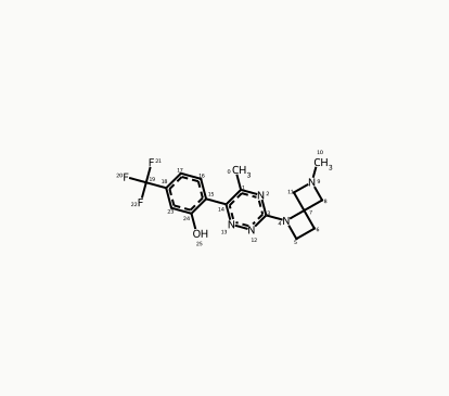 Cc1nc(N2CCC23CN(C)C3)nnc1-c1ccc(C(F)(F)F)cc1O